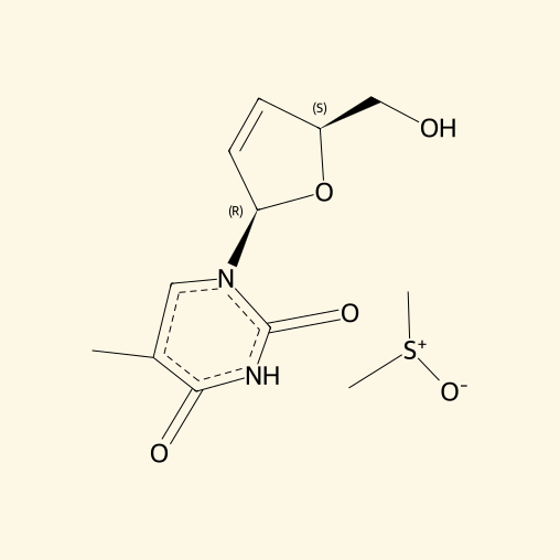 C[S+](C)[O-].Cc1cn([C@H]2C=C[C@@H](CO)O2)c(=O)[nH]c1=O